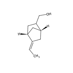 CC=C1C[C@@H]2C[C@H]1CC2CO